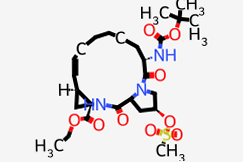 CCOC(=O)[C@@]12C[C@H]1/C=C\CCCCC[C@H](NC(=O)OC(C)(C)C)C(=O)N1C[C@@H](OS(C)(=O)=O)CC1C(=O)N2